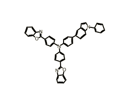 c1ccc(-n2ccc3cc(-c4ccc(N(c5ccc(-c6nc7ccccc7o6)cc5)c5ccc(-c6nc7ccccc7o6)cc5)cc4)ccc32)cc1